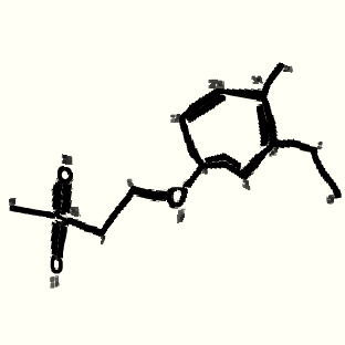 CCc1cc(OCCS(C)(=O)=O)ccc1C